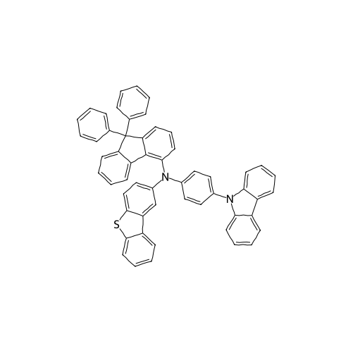 c1ccc(C2(c3ccccc3)c3ccccc3-c3c(N(c4ccc(-n5c6ccccc6c6ccccc65)cc4)c4ccc5sc6ccccc6c5c4)cccc32)cc1